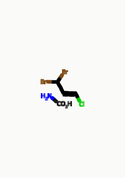 ClC=CC(Br)Br.NC(=O)O